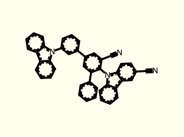 N#Cc1ccc2c(c1)c1ccccc1n2-c1c(C#N)cc(-c2cccc(-n3c4ccccc4c4ccccc43)c2)cc1-c1ccccc1